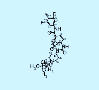 CC(C)(C)[Si](C)(C)O[C@H]1CC[C@@H](N2C(=O)Nc3ccc(C(=O)Nc4cc(F)c(F)c(F)c4)cc3S2(=O)=O)CC1